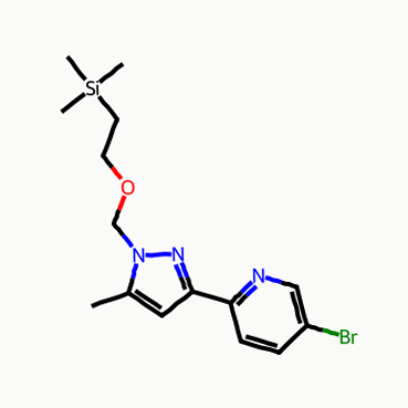 Cc1cc(-c2ccc(Br)cn2)nn1COCC[Si](C)(C)C